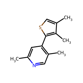 Cc1cc(-c2scc(C)c2C)c(C)cn1